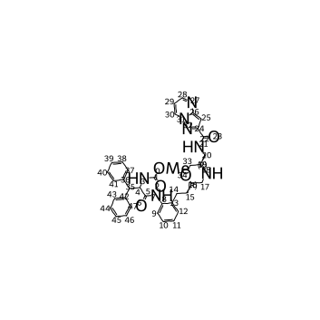 COC(=O)NC(C(=O)Nc1ccccc1CC[C@@H]1CN[C@H](CNC(=O)c2cc3ncccn3n2)CO1)C(c1ccccc1)c1ccccc1